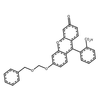 O=C(O)c1ccccc1-c1c2ccc(=O)cc-2oc2cc(OCOCc3ccccc3)ccc12